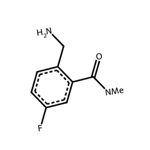 CNC(=O)c1cc(F)ccc1CN